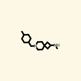 CNC1CC2(CCN(CC3CCC(C)CC3)CC2)C1